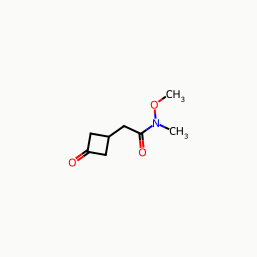 CON(C)C(=O)CC1CC(=O)C1